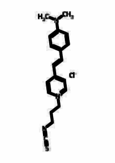 CN(C)c1ccc(C=Cc2cc[n+](CCCN=C=S)cc2)cc1.[Cl-]